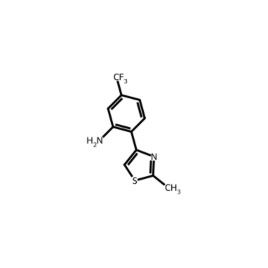 Cc1nc(-c2ccc(C(F)(F)F)cc2N)cs1